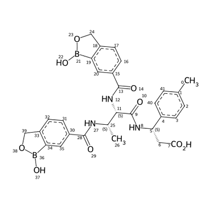 Cc1ccc([C@H](CC(=O)O)NC(=O)[C@@H](NC(=O)c2ccc3c(c2)B(O)OC3)[C@H](C)NC(=O)c2ccc3c(c2)B(O)OC3)cc1